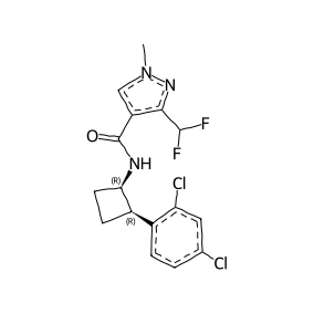 Cn1cc(C(=O)N[C@@H]2CC[C@@H]2c2ccc(Cl)cc2Cl)c(C(F)F)n1